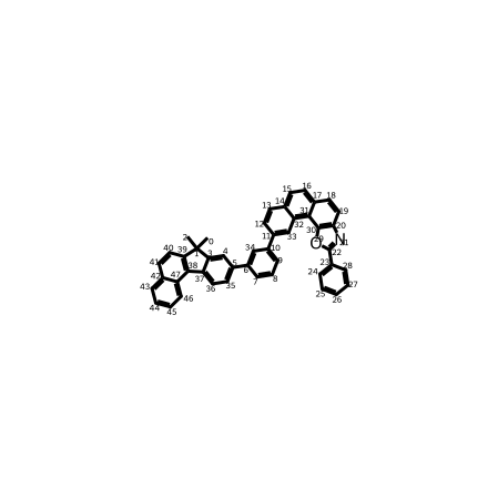 CC1(C)c2cc(-c3cccc(-c4ccc5ccc6ccc7nc(-c8ccccc8)oc7c6c5c4)c3)ccc2-c2c1ccc1ccccc21